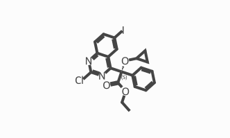 CCOC(=O)[C@](OC1CC1)(c1ccccc1)c1nc(Cl)nc2ccc(I)cc12